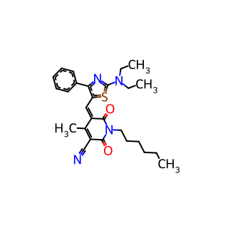 CCCCCCN1C(=O)C(C#N)=C(C)/C(=C/c2sc(N(CC)CC)nc2-c2ccccc2)C1=O